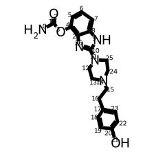 NC(=O)Oc1cccc2[nH]c(N3CCN(CCc4ccc(O)cc4)CC3)nc12